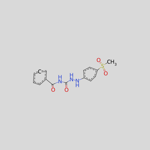 CS(=O)(=O)c1ccc(NNC(=O)NC(=O)c2ccccc2)cc1